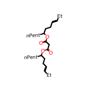 CCC=CCCC(CCCCC)OC(=O)CC(=O)OC(CCC=CCC)CCCCC